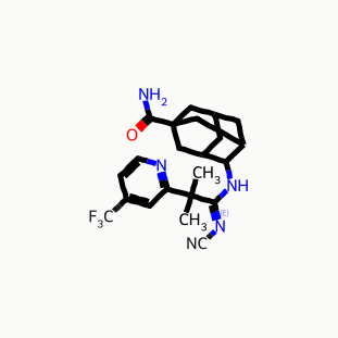 CC(C)(/C(=N\C#N)NC1C2CC3CC1CC(C(N)=O)(C3)C2)c1cc(C(F)(F)F)ccn1